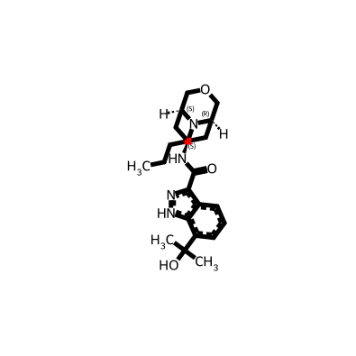 CCCCN1[C@@H]2COC[C@H]1C[C@@H](NC(=O)c1n[nH]c3c(C(C)(C)O)cccc13)C2